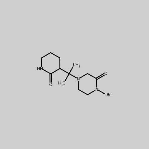 CC(C)(C)N1CCN(C(C)(C)C2CCCNC2=O)CC1=O